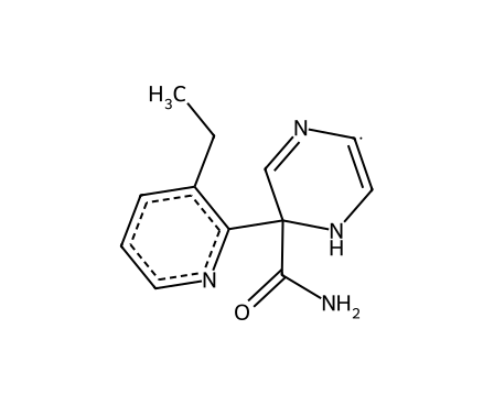 CCc1cccnc1C1(C(N)=O)C=N[C]=CN1